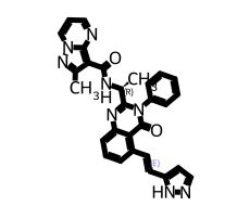 Cc1nn2cccnc2c1C(=O)N[C@H](C)c1nc2cccc(/C=C/c3ccn[nH]3)c2c(=O)n1-c1ccccc1